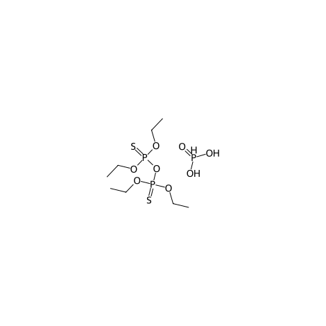 CCOP(=S)(OCC)OP(=S)(OCC)OCC.O=[PH](O)O